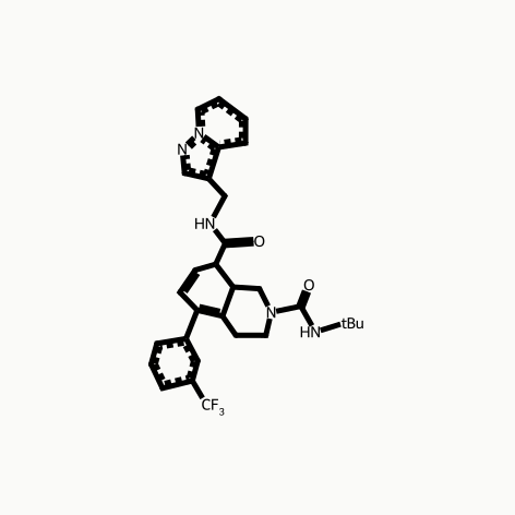 CC(C)(C)NC(=O)N1CCC2=C(c3cccc(C(F)(F)F)c3)C=CC(C(=O)NCc3cnn4ccccc34)C2C1